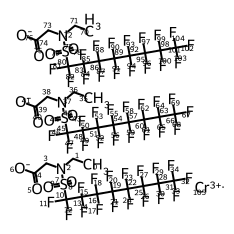 CCN(CC(=O)[O-])S(=O)(=O)C(F)(F)C(F)(F)C(F)(F)C(F)(F)C(F)(F)C(F)(F)C(F)(F)C(F)(F)F.CCN(CC(=O)[O-])S(=O)(=O)C(F)(F)C(F)(F)C(F)(F)C(F)(F)C(F)(F)C(F)(F)C(F)(F)C(F)(F)F.CCN(CC(=O)[O-])S(=O)(=O)C(F)(F)C(F)(F)C(F)(F)C(F)(F)C(F)(F)C(F)(F)C(F)(F)C(F)(F)F.[Cr+3]